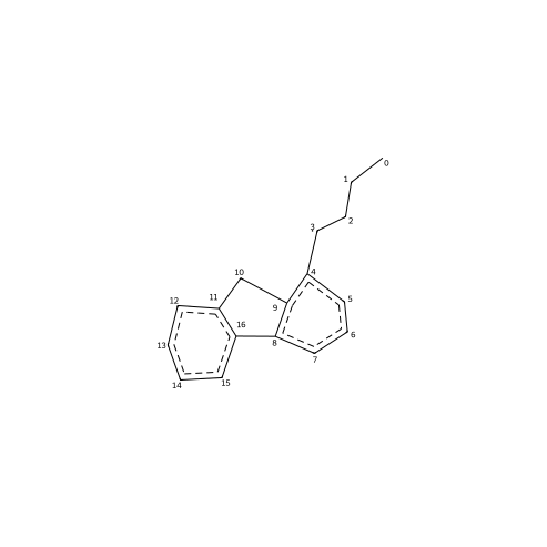 CCC[CH]c1cccc2c1Cc1ccccc1-2